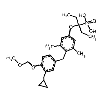 CCC(CC)(Oc1cc(C)c(Cc2ccc(OCOC)c(C3CC3)c2)c(C)c1)P(=O)(O)O